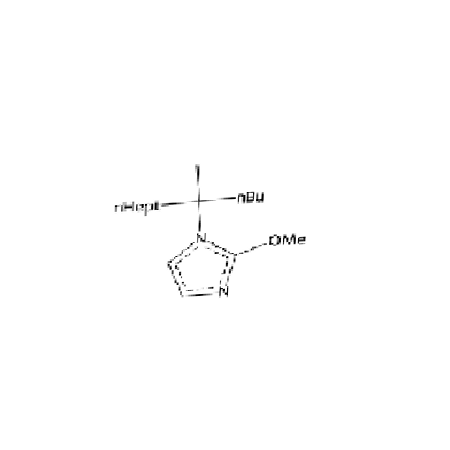 CCCCCCCC(C)(CCCC)n1ccnc1OC